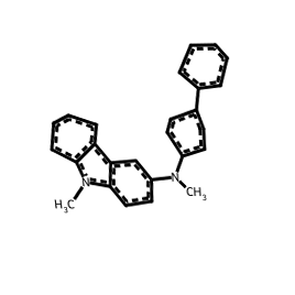 CN(c1ccc(-c2ccccc2)cc1)c1ccc2c(c1)c1ccccc1n2C